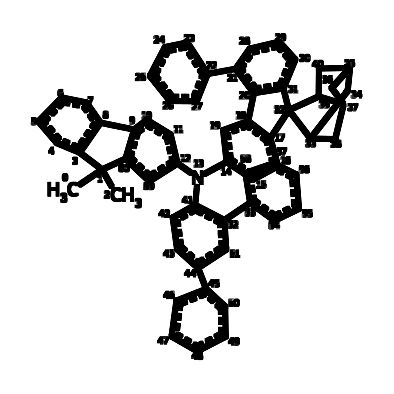 CC1(C)c2ccccc2-c2ccc(N(c3ccc4c(c3)-c3c(-c5ccccc5)cccc3C43C4CC5CC(C4)C3C5)c3ccc(-c4ccccc4)cc3-c3ccccc3)cc21